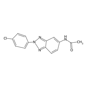 CC(=O)Nc1ccc2nn(-c3ccc(Cl)cc3)nc2c1